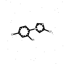 CC(C)c1cc(Cl)ccc1-n1cnc(C(F)(F)F)c1